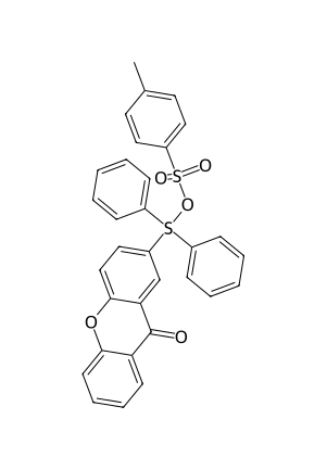 Cc1ccc(S(=O)(=O)OS(c2ccccc2)(c2ccccc2)c2ccc3oc4ccccc4c(=O)c3c2)cc1